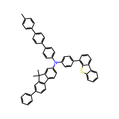 Cc1ccc(-c2ccc(-c3ccc(N(c4ccc(-c5cccc6c5sc5ccccc56)cc4)c4ccc5c(c4)C(C)(C)c4cc(-c6ccccc6)ccc4-5)cc3)cc2)cc1